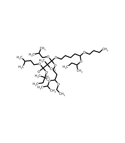 CCCCOC(CCCCOC(OCCC(OCC)OC(C)C)(OCC(C)C)C(C)(C)C([O])(OCCC(C)C)OC(C)(C)CC)OC(C)CC